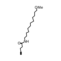 C#CCCC(=O)NCCCCCCCCCCCCOC